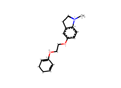 CN1CCc2cc(OCCOC3=CCCC=C3)ccc21